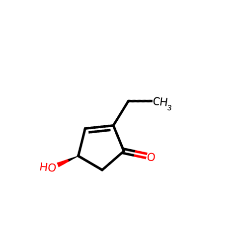 CCC1=C[C@H](O)CC1=O